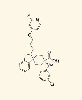 O=C(O)C1(Nc2cccc(Cl)c2)CCC2(CC1)c1ccccc1CC2CCCOc1ccnc(F)c1